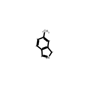 Cc1ccc2c(c1)CN=C2